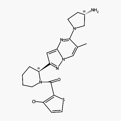 Cc1cn2nc([C@@H]3CCCCN3C(=O)c3sccc3Cl)cc2nc1N1CC[C@H](N)C1